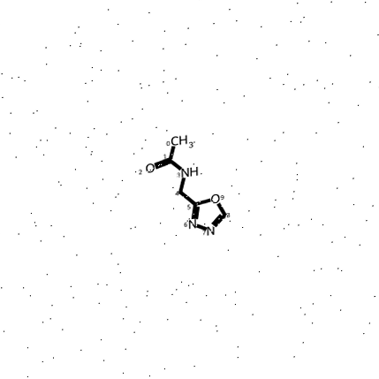 CC(=O)NCc1nn[c]o1